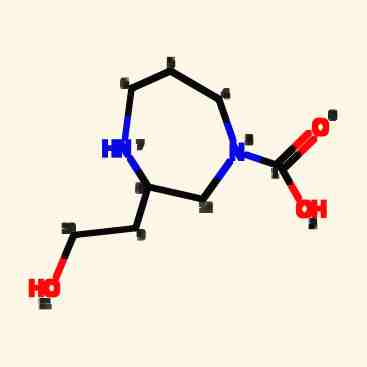 O=C(O)N1CCCNC(CCO)C1